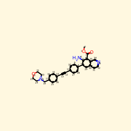 COC(=O)c1c(N)c(-c2ccc(C#Cc3ccc(CN4CCOCC4)cc3)cc2)cc2ccncc12